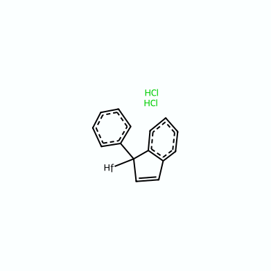 Cl.Cl.[Hf][C]1(c2ccccc2)C=Cc2ccccc21